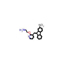 NCCOc1ncccc1/C=C1\c2ccccc2-c2ccc([N+](=O)[O-])cc21